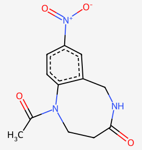 CC(=O)N1CCC(=O)NCc2cc([N+](=O)[O-])ccc21